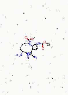 COC(=O)Nc1ccc2c(c1)N[C@@H](C(=O)O)CCCC[C@H](N)c1nc-2c(C#N)[nH]1